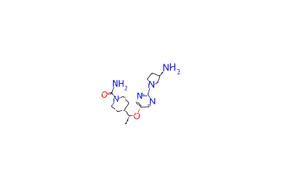 C[C@H](Oc1cnc(N2CC[C@@H](N)C2)nc1)C1CCN(C(N)=O)CC1